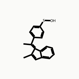 CC1=Cc2ccccc2/C1=C(/C)c1ccc(SO)cc1